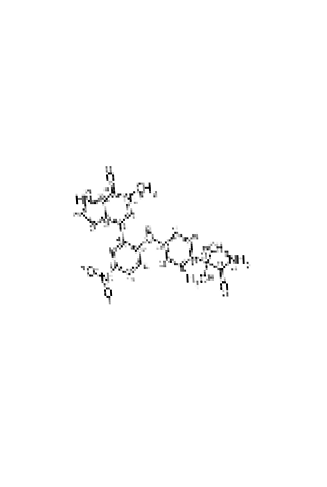 Cn1cc(-c2cc([N+](=O)[O-])ccc2Oc2ccc(C(C)(C)C(N)=O)cc2)c2cc[nH]c2c1=O